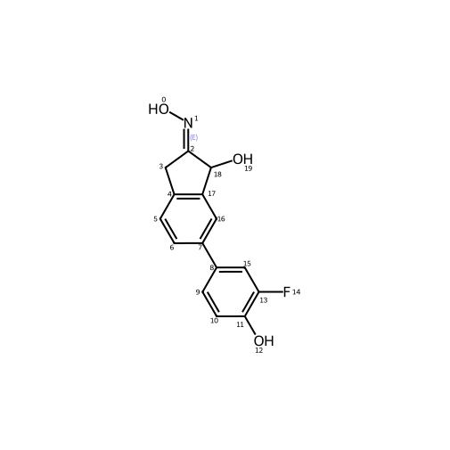 O/N=C1\Cc2ccc(-c3ccc(O)c(F)c3)cc2C1O